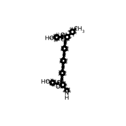 CC1CCC(C2CCC(C#Cc3ccc(C#Cc4ccc(C#Cc5ccc(C#CC6(OC(=O)c7ccc(O)cc7)CCC(C7CCNC7)CC6)cc5)cc4)cc3)(OC(=O)c3ccc(O)cc3)CC2)CC1